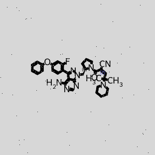 CC(C)(/C=C(/C#N)C(=O)N1CCC[C@@H]1Cn1nc(-c2ccc(Oc3ccccc3)cc2F)c2c(N)ncnc21)N1CCCCC1